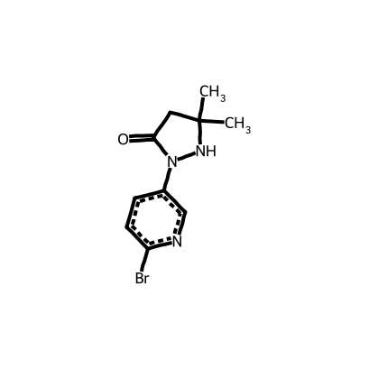 CC1(C)CC(=O)N(c2ccc(Br)nc2)N1